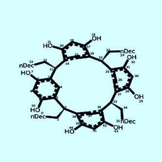 CCCCCCCCCCC[C@H]1c2cc(c(O)cc2O)[C@@H](CCCCCCCCCCC)c2cc(c(O)cc2O)[C@@H](CCCCCCCCCCC)c2cc(c(O)cc2O)[C@@H](CCCCCCCCCCC)c2cc1c(O)cc2O